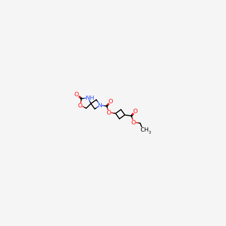 CCOC(=O)C1CC(OC(=O)N2CC3(COC(=O)N3)C2)C1